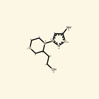 [NH-]c1c[n+](N2CCOCC2CCO)no1